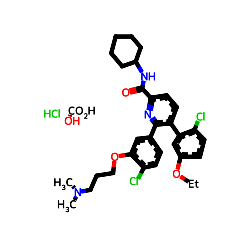 CCOc1ccc(Cl)c(-c2ccc(C(=O)NC3CCCCC3)nc2-c2ccc(Cl)c(OCCCN(C)C)c2)c1.Cl.O=C(O)O